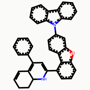 C1=CC2=C(c3ccccc3)C=C(c3cccc4oc5cc(-n6c7ccccc7c7ccccc76)ccc5c34)NC2CC1